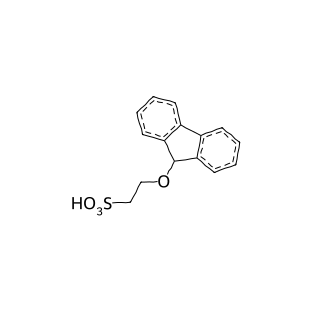 O=S(=O)(O)CCOC1c2ccccc2-c2ccccc21